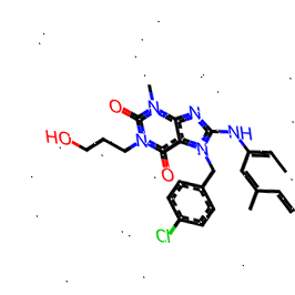 C=C/C(C)=C\C(=C/C)Nc1nc2c(c(=O)n(CCCO)c(=O)n2C)n1Cc1ccc(Cl)cc1